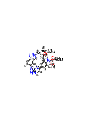 Cc1ccc(CNC2CC2)cc1Nc1nccc(-c2cc(C#N)c3c(c2)[C@@](C)(CO[Si](C)(C)C(C)(C)C)CN3C(=O)OC(C)(C)C)n1